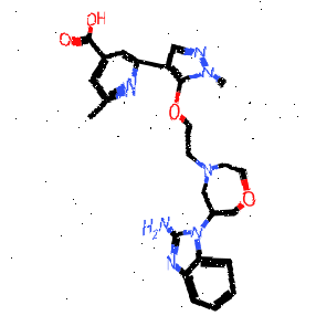 Cc1cc(C(=O)O)cc(-c2cnn(C)c2OCCN2CCOCC(n3c(N)nc4ccccc43)C2)n1